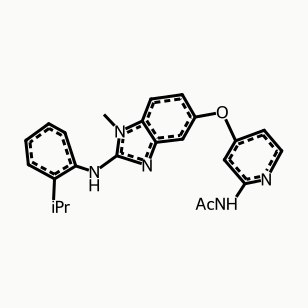 CC(=O)Nc1cc(Oc2ccc3c(c2)nc(Nc2ccccc2C(C)C)n3C)ccn1